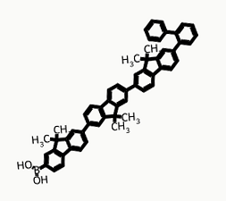 CC1(C)c2cc(B(O)O)ccc2-c2ccc(-c3ccc4c(c3)C(C)(C)c3cc(-c5ccc6c(c5)C(C)(C)c5cc(-c7ccccc7-c7ccccc7)ccc5-6)ccc3-4)cc21